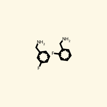 NCc1cccc(F)c1.NCc1ccccc1F